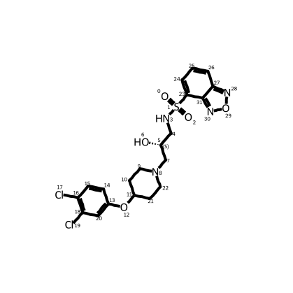 O=S(=O)(NC[C@@H](O)CN1CCC(Oc2ccc(Cl)c(Cl)c2)CC1)c1cccc2nonc12